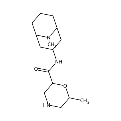 CC1CNCC(C(=O)NC2CC3CCCC(C2)N3C)O1